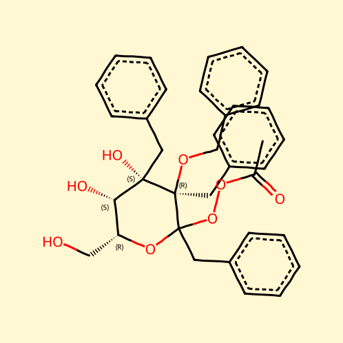 CC(=O)OOC1(Cc2ccccc2)O[C@H](CO)[C@H](O)[C@@](O)(Cc2ccccc2)[C@@]1(Cc1ccccc1)OCc1ccccc1